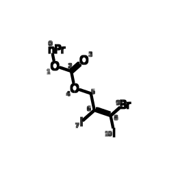 CCCOC(=O)OC/C(I)=C(\Br)I